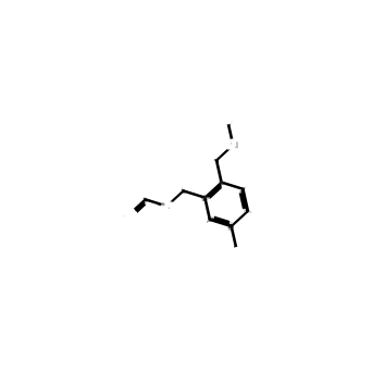 CNCc1ccc(C)cc1CNC=O